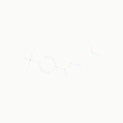 CC(CNS(=O)(=O)C(C)C)c1ccc(C(C)(C)C)cc1